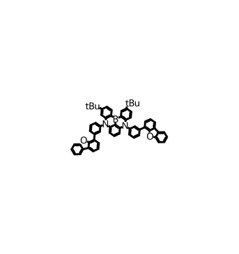 CC(C)(C)c1ccc2c(c1)B1c3ccc(C(C)(C)C)cc3N(c3cccc(-c4cccc5c4oc4ccccc45)c3)c3cccc(c31)N2c1cccc(-c2cccc3c2oc2ccccc23)c1